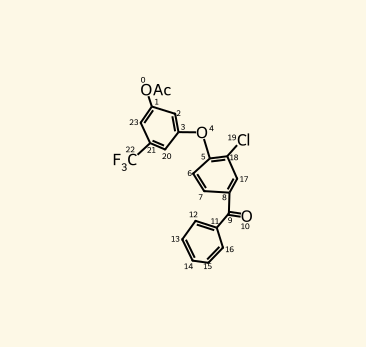 CC(=O)Oc1cc(Oc2ccc(C(=O)c3ccccc3)cc2Cl)cc(C(F)(F)F)c1